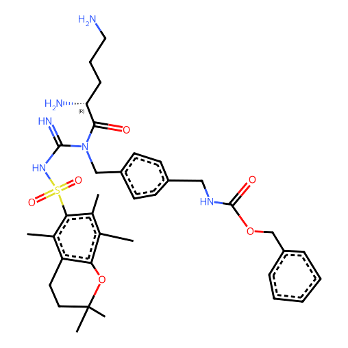 Cc1c(C)c(S(=O)(=O)NC(=N)N(Cc2ccc(CNC(=O)OCc3ccccc3)cc2)C(=O)[C@H](N)CCCN)c(C)c2c1OC(C)(C)CC2